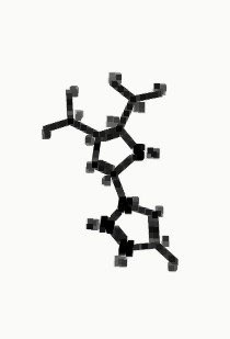 Cc1cn(-c2cc(C(C)C)c(C(C)C)s2)nn1